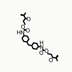 C=C(C)C(=O)CCOC(=O)NC1CCC(CC2CCC(NC(=O)OCCC(=O)C(=C)C)CC2)CC1